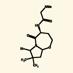 CCC1N2C(=O)[C@@H](NC(=O)CNC)CCOC2CC1(C)C